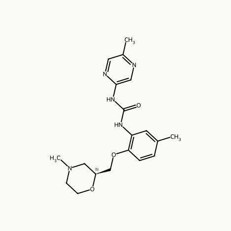 Cc1ccc(OC[C@@H]2CN(C)CCO2)c(NC(=O)Nc2cnc(C)cn2)c1